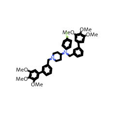 COc1cc(-c2cccc(CN3CCC(N(Cc4cccc(-c5cc(OC)c(OC)c(OC)c5)c4)c4ccc(F)cc4)CC3)c2)cc(OC)c1OC